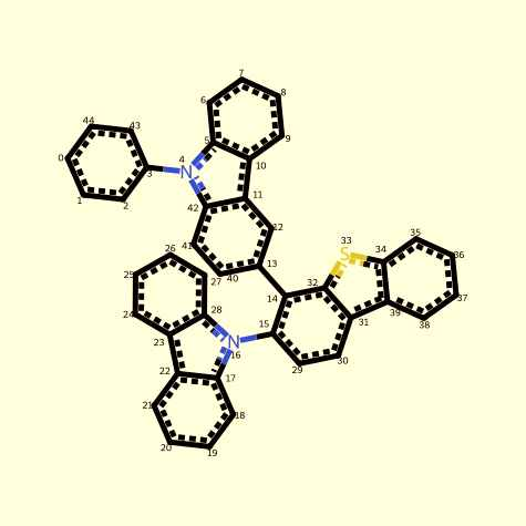 c1ccc(-n2c3ccccc3c3cc(-c4c(-n5c6ccccc6c6ccccc65)ccc5c4sc4ccccc45)ccc32)cc1